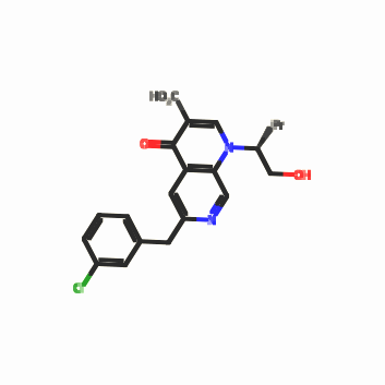 CC(C)[C@@H](CO)n1cc(C(=O)O)c(=O)c2cc(Cc3cccc(Cl)c3)ncc21